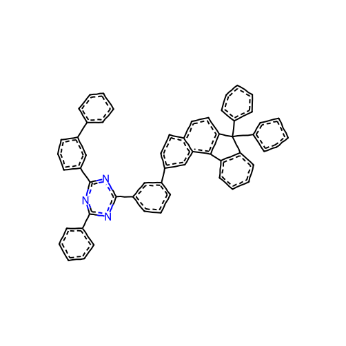 c1ccc(-c2cccc(-c3nc(-c4ccccc4)nc(-c4cccc(-c5ccc6ccc7c(c6c5)-c5ccccc5C7(c5ccccc5)c5ccccc5)c4)n3)c2)cc1